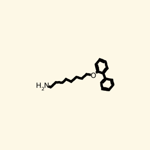 NCCCCCCCCOc1ccccc1-c1ccccc1